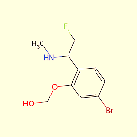 CNC(CF)c1ccc(Br)cc1OCO